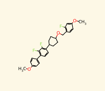 COc1ccc(-c2ccc(C3CCC(OCc4ccc(OC)cc4F)CC3)c(F)c2F)cc1